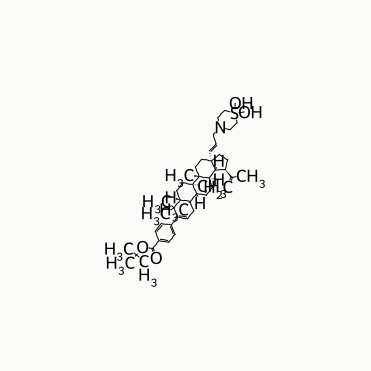 C=C(C)[C@@H]1CC[C@]2(/C=C/CN3CCS(O)(O)CC3)CC[C@]3(C)[C@H](CC[C@@H]4[C@@]5(C)CC=C(c6ccc(C(=O)OC(C)(C)C)cc6)C(C)(C)[C@@H]5CC[C@]43C)[C@@H]12